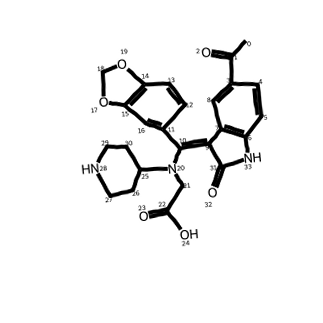 CC(=O)c1ccc2c(c1)/C(=C(\c1ccc3c(c1)OCO3)N(CC(=O)O)C1CCNCC1)C(=O)N2